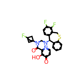 O=C1c2c(O)c(=O)ccn2N([C@@H]2c3ccccc3SCc3c2ccc(F)c3F)CN1C12CC(F)(C1)C2